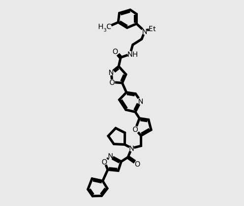 CCN(CCNC(=O)c1cc(-c2ccc(-c3ccc(CN(C(=O)c4cc(-c5ccccc5)on4)C4CCCC4)o3)nc2)on1)c1cccc(C)c1